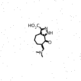 CN(C)C=C1CCCc2c(C(=O)O)n[nH]c2C1=O